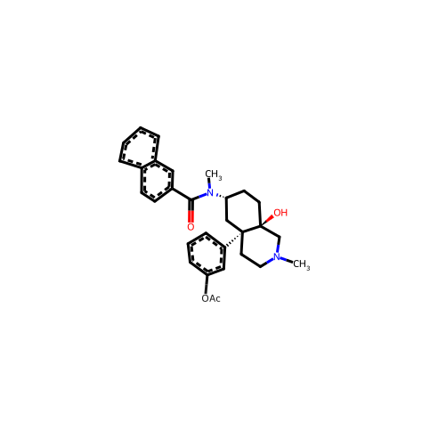 CC(=O)Oc1cccc([C@@]23CCN(C)C[C@@]2(O)CC[C@@H](N(C)C(=O)c2ccc4ccccc4c2)C3)c1